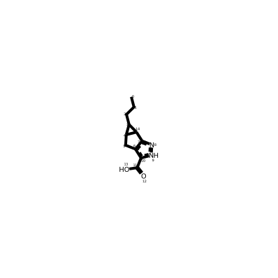 CCCC1C2Cc3c(n[nH]c3C(=O)O)C12